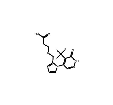 O=C(O)CCOCc1cccn1-c1cn[nH]c(=O)c1C(F)(F)F